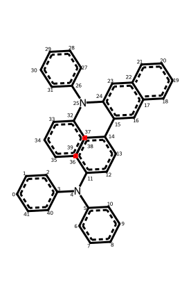 c1ccc(N(c2ccccc2)c2ccc(-c3cc4ccccc4cc3N(c3ccccc3)c3ccccc3)cc2)cc1